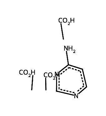 CC(=O)O.CC(=O)O.CC(=O)O.Nc1ccncn1